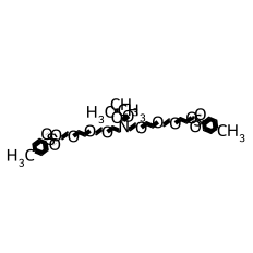 Cc1ccc(S(=O)(=O)OCCOCCOCCOCCN(CCOCCOCCOCCOS(=O)(=O)c2ccc(C)cc2)C(=O)OC(C)(C)C)cc1